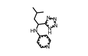 CC(C)CC(Nc1ccncc1)c1nnn[nH]1